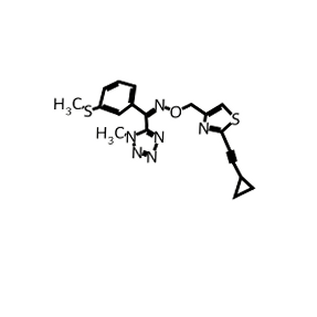 CSc1cccc(C(=NOCc2csc(C#CC3CC3)n2)c2nnnn2C)c1